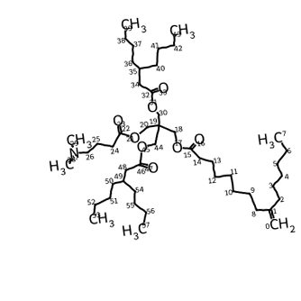 C=C(CCCCCC)CCCCCCCC(=O)OCC(COC(=O)CCCN(C)C)(COC(=O)CC(CCCC)CCCC)COC(=O)CC(CCCC)CCCC